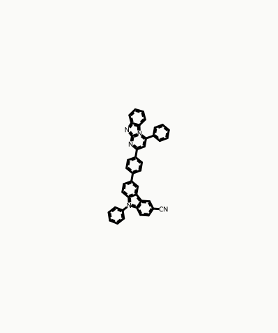 N#Cc1ccc2c(c1)c1cc(-c3ccc(-c4cc(-c5ccccc5)n5c(n4)nc4ccccc45)cc3)ccc1n2-c1ccccc1